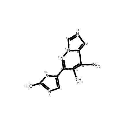 Cc1ncc(-c2nn3cncc3c(N)c2C)s1